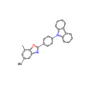 CCC(C)c1cc(C)c2oc(-c3ccc(-n4c5ccccc5c5ccccc54)cc3)nc2c1